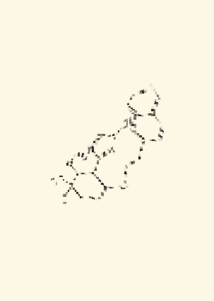 COC1C(c2ncn(C)n2)C(OCCc2ccc3ccccc3c2)CCC1(C)C